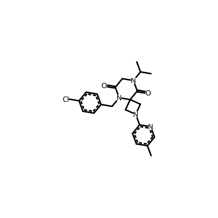 Cc1ccc(N2CC3(C2)C(=O)N(C(C)C)CC(=O)N3Cc2ccc(Cl)cc2)nc1